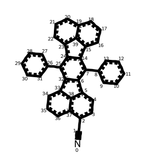 N#Cc1ccc2c3c(-c4ccccc4)c4c5cccc6cccc(c4c(-c4ccccc4)c3c3cccc1c32)c65